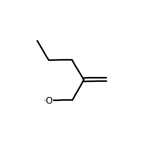 C=C(C[O])CCC